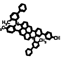 Cc1ccc(-c2ccc3c4cc5ccc6c7c(cc8ccc(c4c8c57)n(-c4cc(-c5ccccc5)ccc4C)c3c2)c2ccc(C)cc2n6-c2cc(-c3ccccc3)ccc2C)cc1